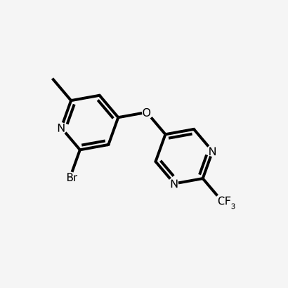 Cc1cc(Oc2cnc(C(F)(F)F)nc2)cc(Br)n1